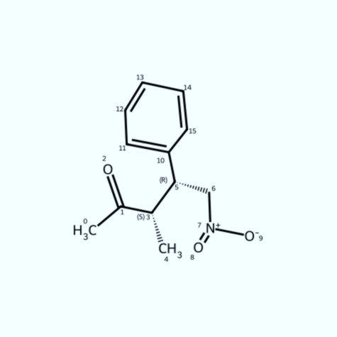 CC(=O)[C@@H](C)[C@@H](C[N+](=O)[O-])c1ccccc1